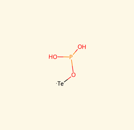 OP(O)O[Te]